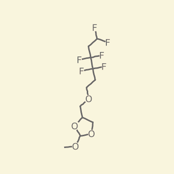 COC1OCC(COCCC(F)(F)C(F)(F)CC(F)F)O1